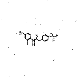 FC(F)Oc1ccc(CC(=S)Nc2ccc(Br)cc2I)cc1